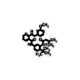 COc1nccc(CNc2ncccc2C(=O)Nc2ccc(C(C)(C)C)c(NC(=O)CN(C)C)c2)n1